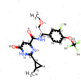 COC[C@@H](NC(=O)c1cc(=O)[nH]c(C2CC2C)n1)c1ccc(OC(F)(F)F)c(F)c1